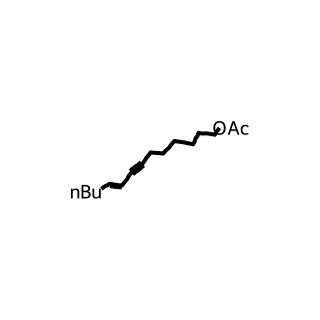 CCCCC=CC#CCCCCCCOC(C)=O